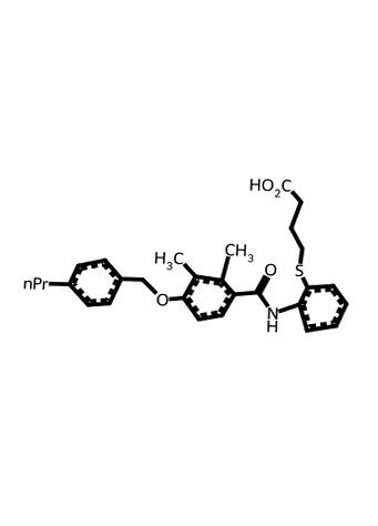 CCCc1ccc(COc2ccc(C(=O)Nc3ccccc3SCCCC(=O)O)c(C)c2C)cc1